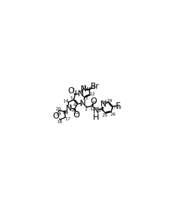 O=C(Cn1c2c(c(=O)n3nc(Br)cc13)CN([C@@H]1CCOC1)C2=O)Nc1ccc(F)cn1